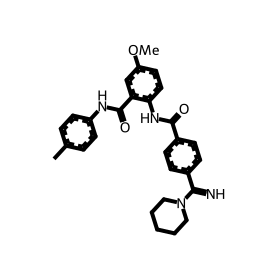 COc1ccc(NC(=O)c2ccc(C(=N)N3CCCCC3)cc2)c(C(=O)Nc2ccc(C)cc2)c1